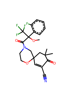 COC(C(=O)N1CCOC2(C=C(C#N)C(=O)C(C)(C)C2)C1)(c1ccccc1F)C(F)(F)F